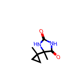 CC1(C2(C)NC(=O)NC2=O)CC1